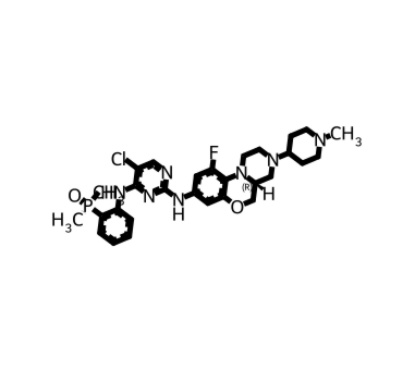 CN1CCC(N2CCN3c4c(F)cc(Nc5ncc(Cl)c(Nc6ccccc6P(C)(C)=O)n5)cc4OC[C@H]3C2)CC1